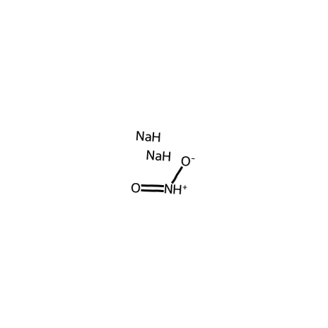 O=[NH+][O-].[NaH].[NaH]